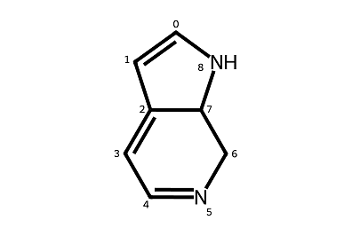 C1=CC2=CC=NCC2N1